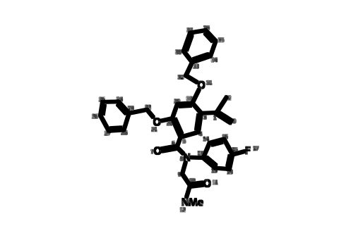 C=C(C)c1cc(C(=O)N(CC(=O)NC)c2ccc(F)cc2)c(OCc2ccccc2)cc1OCc1ccccc1